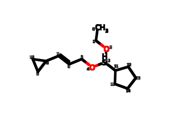 CCO[SiH](OCC=CC1CC1)C1CCCC1